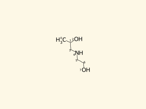 CC(O)CNCCO